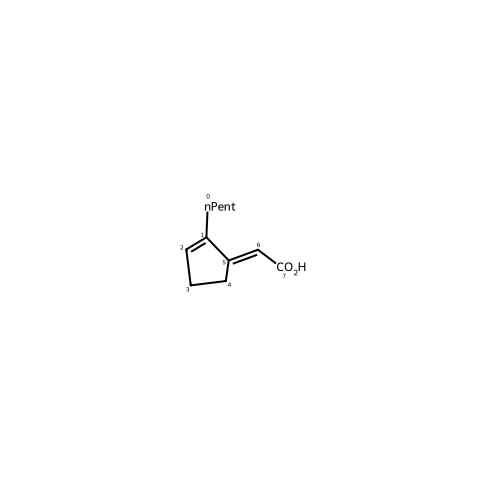 CCCCCC1=CCCC1=CC(=O)O